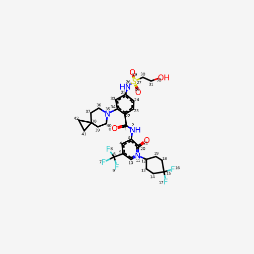 O=C(Nc1cc(C(F)(F)F)cn(C2CCC(F)(F)CC2)c1=O)c1ccc(NS(=O)(=O)CCO)cc1N1CCC2(CC1)CC2